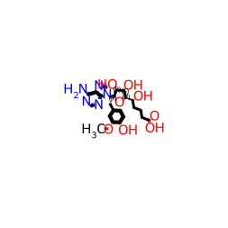 COc1cc(C[C@@]2(n3cnc4c(N)ncnc43)O[C@H](C(O)CCCC(=O)O)[C@@H](O)[C@H]2O)ccc1O